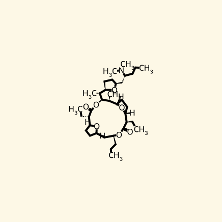 CCC[C@H]1C[C@@H]2CC[C@@H](O2)[C@H](CC)C(=O)O[C@@H]([C@H](C)[C@H]2CC[C@@H](C[C@@H](CCC)N(C)C)O2)[C@H](C)[C@@H]2CC[C@@H](O2)[C@@H](CC)C(=O)O1